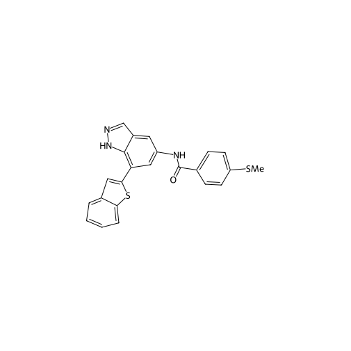 CSc1ccc(C(=O)Nc2cc(-c3cc4ccccc4s3)c3[nH]ncc3c2)cc1